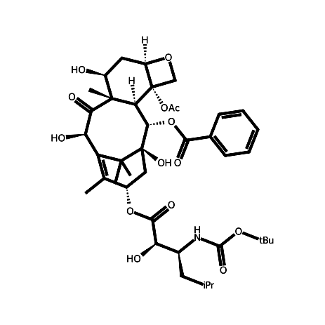 CC(=O)O[C@@]12CO[C@@H]1C[C@H](O)[C@@]1(C)C(=O)[C@H](O)C3=C(C)[C@@H](OC(=O)[C@H](O)[C@H](CC(C)C)NC(=O)OC(C)(C)C)C[C@@](O)([C@@H](OC(=O)c4ccccc4)[C@H]21)C3(C)C